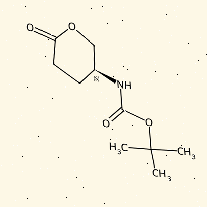 CC(C)(C)OC(=O)N[C@H]1CCC(=O)OC1